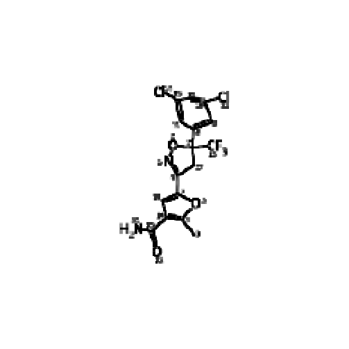 Cc1oc(C2=NOC(c3cc(Cl)cc(Cl)c3)(C(F)(F)F)C2)cc1C(N)=O